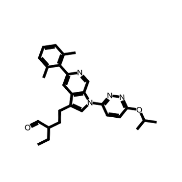 CCC(C=O)CCc1cn(-c2ccc(OC(C)C)nn2)c2cnc(-c3c(C)cccc3C)cc12